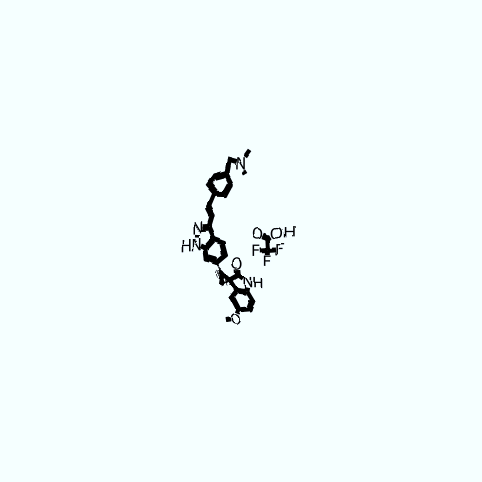 COc1ccc2c(c1)[C@@]1(C[C@@H]1c1ccc3c(C=Cc4ccc(CN(C)C)cc4)n[nH]c3c1)C(=O)N2.O=C(O)C(F)(F)F